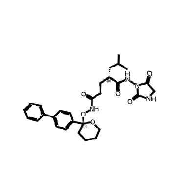 CC(C)C[C@@H](CCC(=O)NO[C@]1(c2ccc(-c3ccccc3)cc2)CCCCO1)C(=O)NN1C(=O)CNC1=O